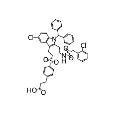 O=C(O)CCc1ccc(S(=O)(=O)CCc2c(CCNS(=O)(=O)Cc3ccccc3Cl)n(C(c3ccccc3)c3ccccc3)c3ccc(Cl)cc23)cc1